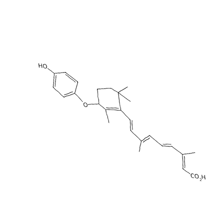 CC(C=CC1=C(C)C(Oc2ccc(O)cc2)CCC1(C)C)=CC=CC(C)=CC(=O)O